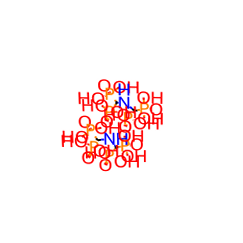 O=P(O)(O)C(NC(P(=O)(O)O)P(=O)(O)O)P(=O)(O)O.O=P(O)(O)C(NC(P(=O)(O)O)P(=O)(O)O)P(=O)(O)O